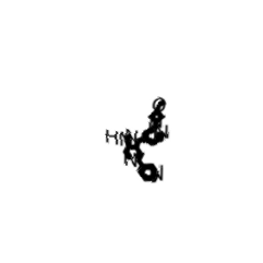 COC1CN(c2cc(C3=NNC4C=NC(c5cccnc5)=CC34)ccn2)C1